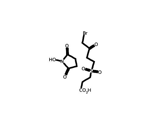 O=C(O)CCS(=O)(=O)CCC(=O)CBr.O=C1CCC(=O)N1O